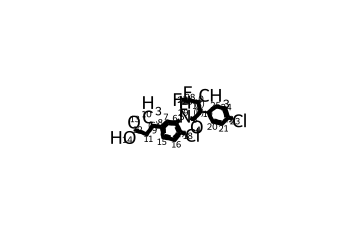 C[C@H]([C@H](C(=O)Nc1cc([C@@H](C)CC(=O)O)ccc1Cl)C1C=CC(Cl)=CC1)C(F)(F)F